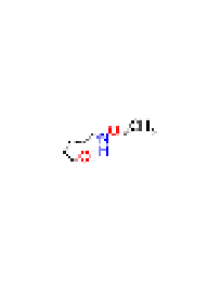 C=CONCC1CCCO1